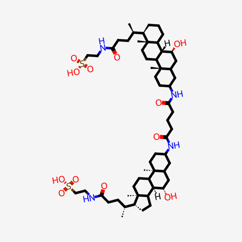 C[C@H](CCC(=O)NCCS(=O)(=O)O)[C@H]1CCCC2[C@H]3C(CC[C@@]21C)[C@@]1(C)CCC(NC(=O)CCCC(=O)NC2CC[C@@]4(C)C(C2)C[C@H](O)[C@@H]2C4CC[C@@]4(C)C2CC[C@@H]4[C@H](C)CCC(=O)NCCS(=O)(=O)O)CC1C[C@@H]3O